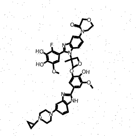 COc1cc(-c2nc3cc(N4CCN(C5CC5)CC4)ccc3[nH]2)cc(OC2OCC2(C)n2c(-c3cc(OC)c(O)c(O)c3F)nc3cc(N4CCOCC4=O)ccc32)c1O